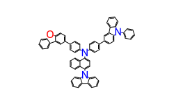 c1ccc(-n2c3ccccc3c3cc(-c4ccc(N(c5ccc(-c6ccc7oc8ccccc8c7c6)cc5)c5ccc(-n6c7ccccc7c7ccccc76)c6ccccc56)cc4)ccc32)cc1